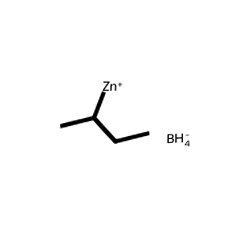 CC[CH](C)[Zn+].[BH4-]